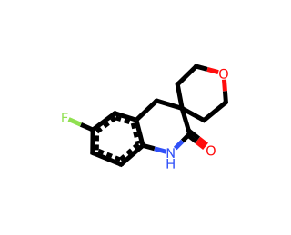 O=C1Nc2ccc(F)cc2CC12CCOCC2